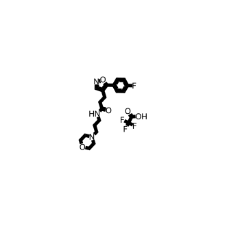 O=C(CCc1cnoc1-c1ccc(F)cc1)NCCCN1CCOCC1.O=C(O)C(F)(F)F